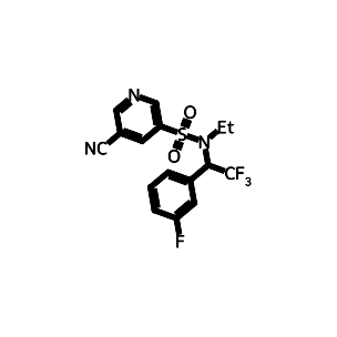 CCN(C(c1cccc(F)c1)C(F)(F)F)S(=O)(=O)c1cncc(C#N)c1